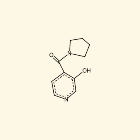 O=C(c1ccncc1O)N1CCCC1